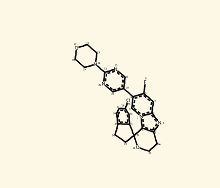 Fc1cc2nc3c(n2cc1-c1cnc(N2CCOCC2)nc1)C1(CCc2ccc(Cl)cc21)OCC3